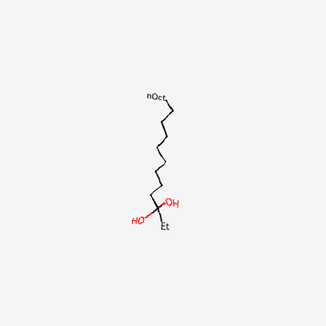 CCCCCCCCCCCCCCCCC(O)(O)CC